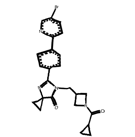 O=C(C1CC1)N1CC(CN2C(=O)C3(CC3)N=C2c2ccc(-c3ccc(Br)cn3)cc2)C1